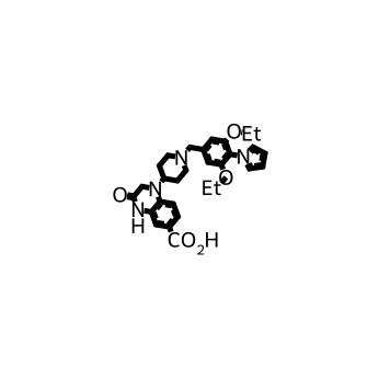 CCOc1cc(CN2CCC(N3CC(=O)Nc4cc(C(=O)O)ccc43)CC2)cc(OCC)c1-n1cccc1